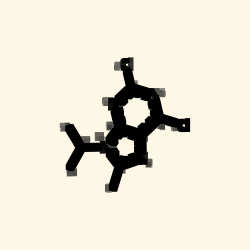 Cc1nc2c(Cl)nc(Cl)nc2n1C(C)C